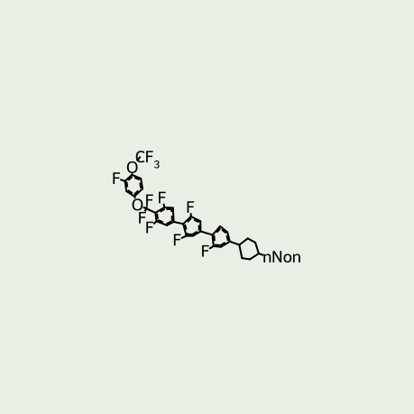 CCCCCCCCCC1CCC(c2ccc(-c3cc(F)c(-c4cc(F)c(C(F)(F)Oc5ccc(OC(F)(F)F)c(F)c5)c(F)c4)c(F)c3)c(F)c2)CC1